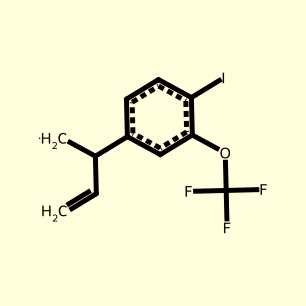 [CH2]C(C=C)c1ccc(I)c(OC(F)(F)F)c1